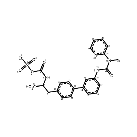 CCS(=O)(=O)OC(=O)N[C@@H](Cc1ccc(-c2cccc(NC(=O)N(C)c3ccccn3)c2)cc1)C(=O)O